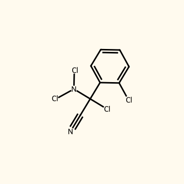 N#CC(Cl)(c1ccccc1Cl)N(Cl)Cl